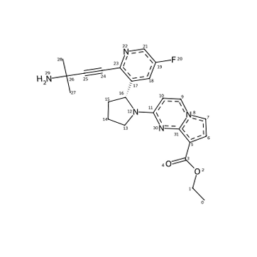 CCOC(=O)c1ccn2ccc(N3CCC[C@@H]3c3cc(F)cnc3C#CC(C)(C)N)nc12